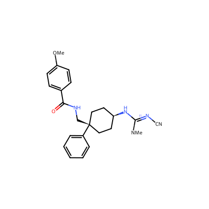 CN/C(=N\C#N)N[C@H]1CC[C@](CNC(=O)c2ccc(OC)cc2)(c2ccccc2)CC1